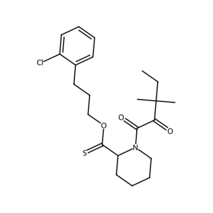 CCC(C)(C)C(=O)C(=O)N1CCCCC1C(=S)OCCCc1ccccc1Cl